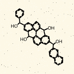 OC(c1ccccc1)c1cc2c3c4c(ccc3c1)C(O)c1cc(C(O)c3ccc5ccccc5c3)cc3ccc(c-4c13)C2O